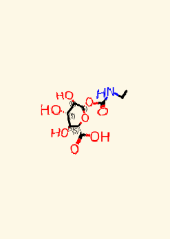 CCNC(=O)O[C@@H]1O[C@H](C(=O)O)[C@@H](O)[C@H](O)[C@H]1O